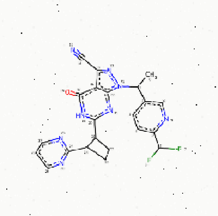 CC(c1ccc(C(F)F)nc1)n1nc(C#N)c2c(=O)[nH]c(C3CCC3c3ncccn3)nc21